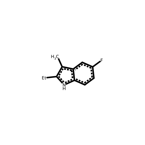 CCc1[nH]c2ccc(F)cc2c1C